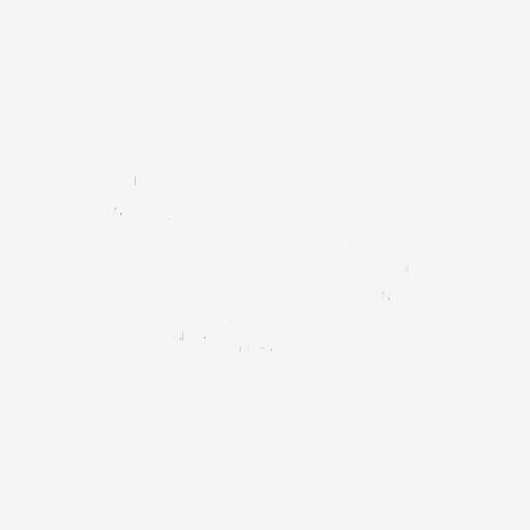 CCCCCCC1(CCCCCC)c2cc3c(cc2-c2cc4c(cc21)C/C(=N/O)C4=O)C(=O)/C(=N\O)C3